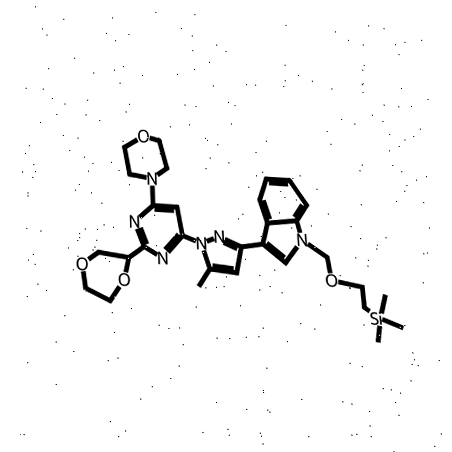 Cc1cc(-c2cn(COCC[Si](C)(C)C)c3ccccc23)nn1-c1cc(N2CCOCC2)nc(C2COCCO2)n1